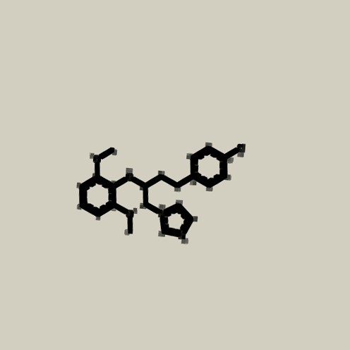 COc1cccc(OC)c1OC(CCc1ccc(Cl)cc1)Cn1ccnc1